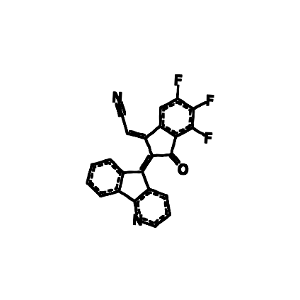 N#C/C=C1/C(=C2\c3ccccc3-c3ncccc32)C(=O)c2c1cc(F)c(F)c2F